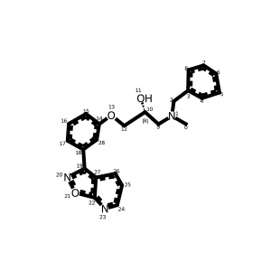 CN(Cc1ccccc1)C[C@@H](O)COc1cccc(-c2noc3ncccc23)c1